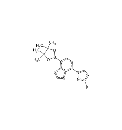 CC1(C)OB(c2ccc(-n3ccc(F)n3)c3ncsc23)OC1(C)C